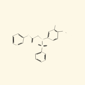 COc1ccc(N(CC(=O)Nc2cccnc2)S(=O)(=O)c2ccccc2)cc1C